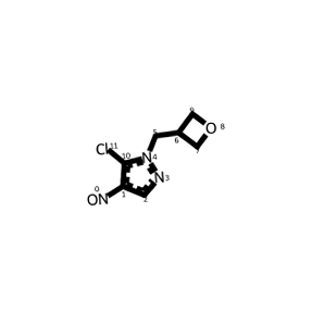 O=Nc1cnn(CC2COC2)c1Cl